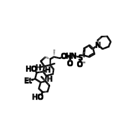 CC[C@@H]1C2C[C@H](O)CCC2(C)[C@H]2CCC3(C)[C@@H]([C@H](C)COC(=O)N[S+]([O-])c4ccc(N5CCCCCC5)cc4)CC[C@H]3[C@H]2[C@@H]1O